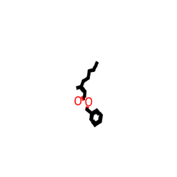 CCCCC/C(C)=C/C(=O)OCc1ccccc1